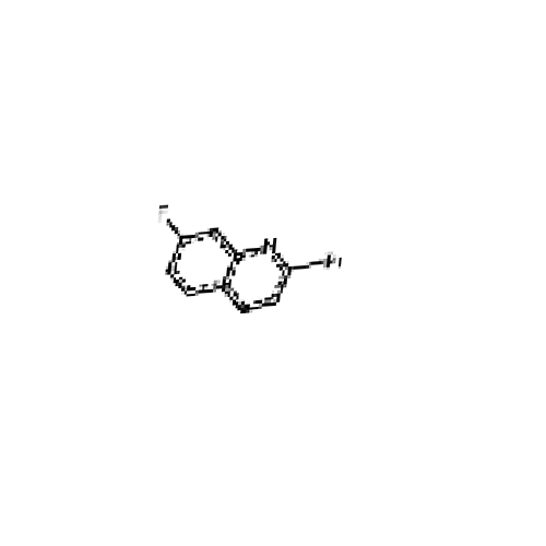 CC(C)c1ccc2ccc(F)cc2n1